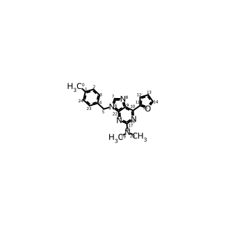 Cc1ccc(Cn2cnc3c(-c4ccco4)nc(N(C)C)nc32)cc1